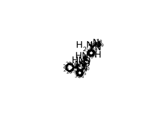 CN1C(=O)[C@H](NC(=O)Nc2cccc(C(N)c3ncc[nH]3)c2)N=C(C2CCCCCC2)c2ccccc21